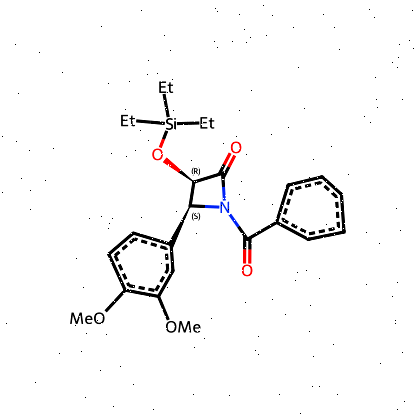 CC[Si](CC)(CC)O[C@H]1C(=O)N(C(=O)c2ccccc2)[C@H]1c1ccc(OC)c(OC)c1